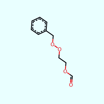 O=COCCOOCc1ccccc1